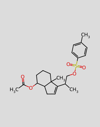 CC(=O)OC1CCCC2(C)C(C(C)COS(=O)(=O)c3ccc(C)cc3)=CCC12